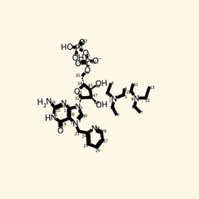 CCN(CC)CC.CCN(CC)CC.Nc1nc2c(c(=O)[nH]1)[n+](Cc1ccccn1)cn2[C@@H]1O[C@H](COP(=O)([O-])OP(=O)(O)O)[C@@H](O)[C@H]1O